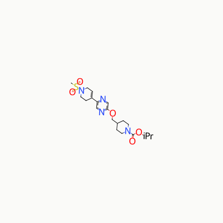 CC(C)OC(=O)N1CCC(COc2cnc(C3=CCN(S(C)(=O)=O)CC3)cn2)CC1